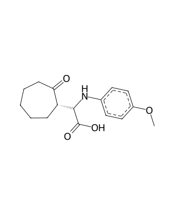 COc1ccc(NC(C(=O)O)[C@@H]2CCCCCC2=O)cc1